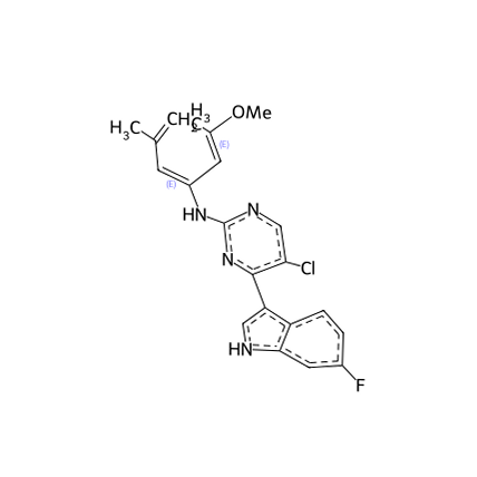 C=C(C)/C=C(\C=C(/C)OC)Nc1ncc(Cl)c(-c2c[nH]c3cc(F)ccc23)n1